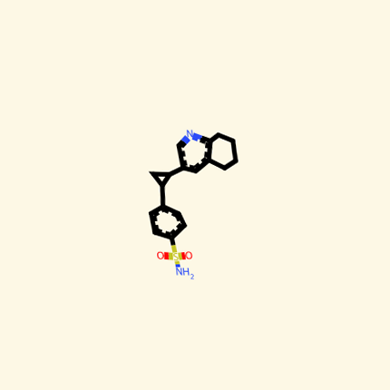 NS(=O)(=O)c1ccc(C2CC2c2cnc3c(c2)CCCC3)cc1